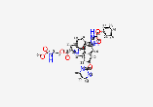 COC(=O)NCCOC(=O)c1cc2ccc(C(=N)NC(=O)Oc3ccccc3)cc2n1Cc1cc(Oc2ncccn2)cc2ccccc12